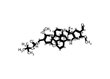 COC1=C(CNC(=O)OC(C)(C)C)C=C(Cl)C(c2ccncc2)(c2cccc3c2CCC3Nc2nc(OC)c(C=O)cc2C(F)(F)F)N1